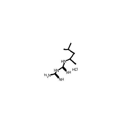 CC(C)CC(C)NC(=N)NC(=N)N.Cl